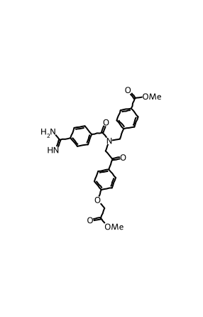 COC(=O)COc1ccc(C(=O)CN(Cc2ccc(C(=O)OC)cc2)C(=O)c2ccc(C(=N)N)cc2)cc1